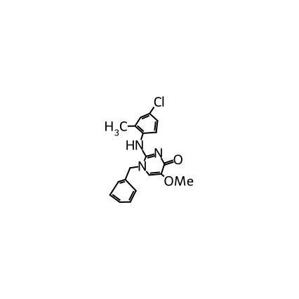 COc1cn(Cc2ccccc2)c(Nc2ccc(Cl)cc2C)nc1=O